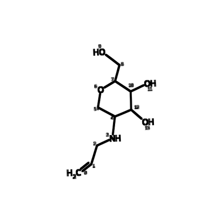 C=CCNC1[CH]OC(CO)C(O)C1O